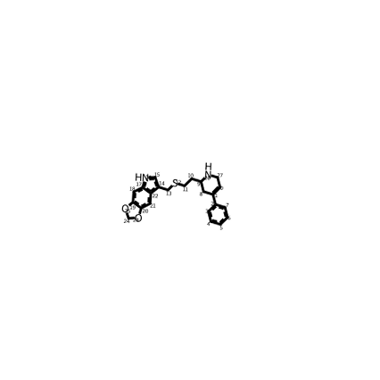 C1=C(c2ccccc2)CC(CCSCc2c[nH]c3cc4c(cc23)OCO4)NC1